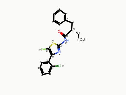 O=C(O)C[C@@H](Cc1ccccc1)C(=O)Nc1nc(-c2ccccc2Cl)c(F)s1